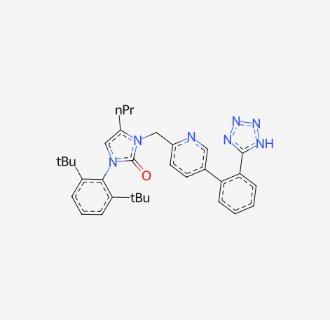 CCCc1cn(-c2c(C(C)(C)C)cccc2C(C)(C)C)c(=O)n1Cc1ccc(-c2ccccc2-c2nnn[nH]2)cn1